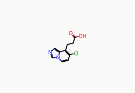 O=C(O)CCc1c(Cl)ccn2cncc12